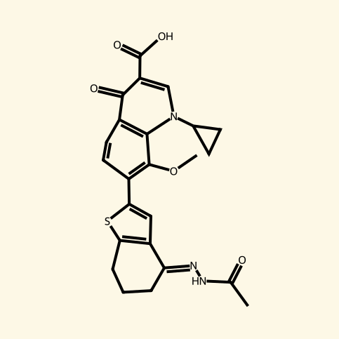 COc1c(-c2cc3c(s2)CCCC3=NNC(C)=O)ccc2c(=O)c(C(=O)O)cn(C3CC3)c12